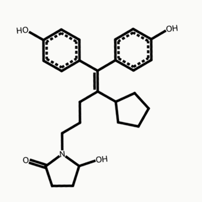 O=C1CCC(O)N1CCCC(=C(c1ccc(O)cc1)c1ccc(O)cc1)C1CCCC1